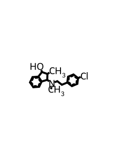 CC1C(O)c2ccccc2C1N(C)CCc1ccc(Cl)cc1